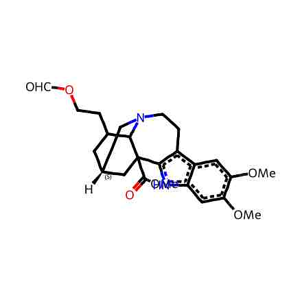 COC(=O)C12C[C@@H]3CC(CCOC=O)C1N(CCc1c2[nH]c2cc(OC)c(OC)cc12)C3